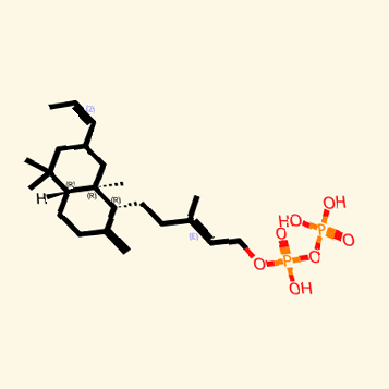 C=C1CC[C@@H]2C(C)(C)CC(/C=C\C)C[C@@]2(C)[C@@H]1CC/C(C)=C/COP(=O)(O)OP(=O)(O)O